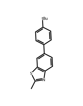 Cc1nc2ccc(-c3ccc(C(C)(C)C)cc3)cc2s1